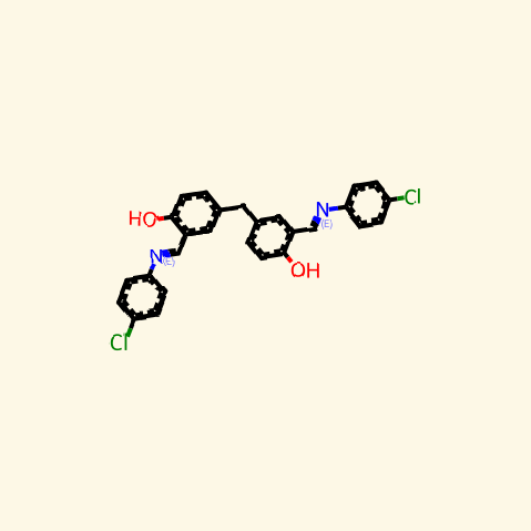 Oc1ccc(Cc2ccc(O)c(/C=N/c3ccc(Cl)cc3)c2)cc1/C=N/c1ccc(Cl)cc1